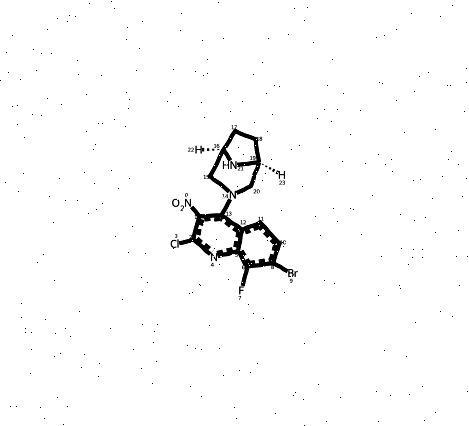 O=[N+]([O-])c1c(Cl)nc2c(F)c(Br)ccc2c1N1C[C@H]2CC[C@@H](C1)N2